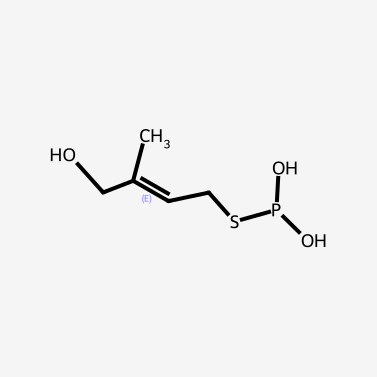 C/C(=C\CSP(O)O)CO